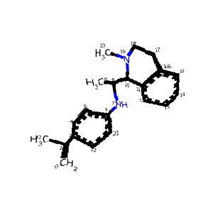 C=C(C)c1ccc(NC(C)C2c3ccccc3CCN2C)cc1